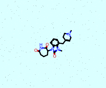 CN1CC=C(Cc2cccc3c2n(C)c(=O)n3C2CCCC(=O)NC2=O)CC1